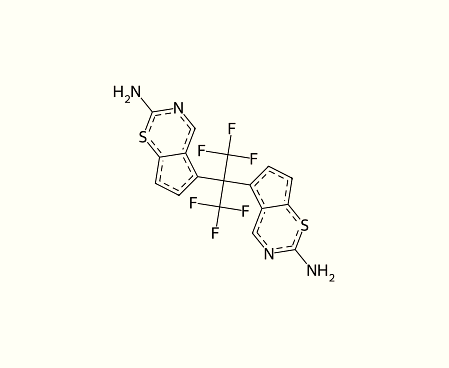 Nc1ncc2c(C(c3ccc4sc(N)ncc3-4)(C(F)(F)F)C(F)(F)F)ccc-2s1